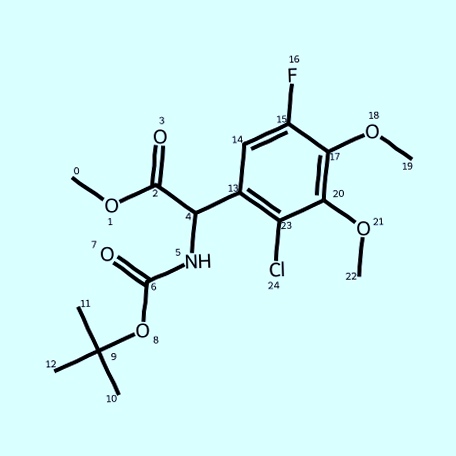 COC(=O)C(NC(=O)OC(C)(C)C)c1cc(F)c(OC)c(OC)c1Cl